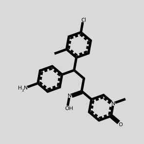 Cc1cc(Cl)ccc1C(CC(=NO)c1ccc(=O)n(C)c1)c1ccc(N)cc1